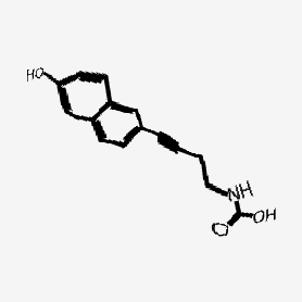 O=C(O)NCCC#Cc1ccc2cc(O)ccc2c1